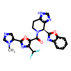 Cn1cncc1-c1nc(C(F)F)c(C(=O)N2CCc3[nH]cnc3[C@H]2c2nc3ccccc3o2)o1